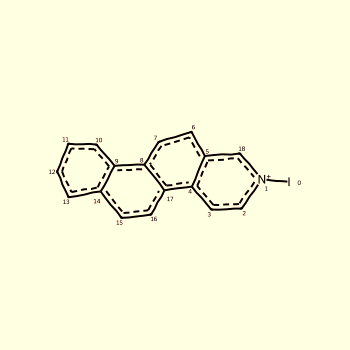 I[n+]1ccc2c(ccc3c4ccccc4ccc23)c1